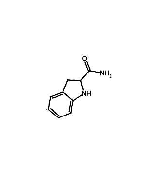 NC(=O)C1Cc2c[c]ccc2N1